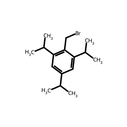 CC(C)c1cc(C(C)C)c(CBr)c(C(C)C)c1